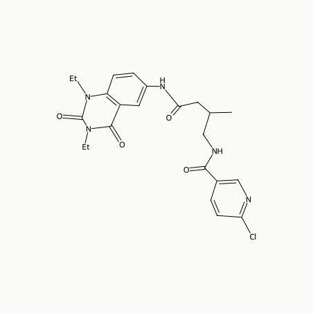 CCn1c(=O)c2cc(NC(=O)CC(C)CNC(=O)c3ccc(Cl)nc3)ccc2n(CC)c1=O